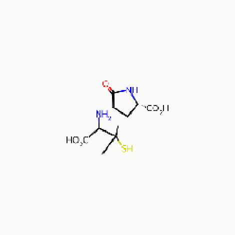 CC(C)(S)C(N)C(=O)O.O=C1CC[C@@H](C(=O)O)N1